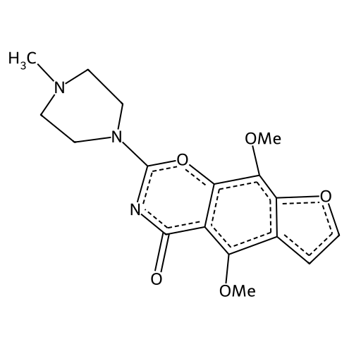 COc1c2occc2c(OC)c2c(=O)nc(N3CCN(C)CC3)oc12